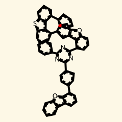 c1ccc(-c2nc(-c3ccc(-c4cccc5c4oc4ccccc45)cc3)nc(-c3cccc4oc5ccc(-c6cccc7sc8cccc(-c9ccccc9)c8c67)cc5c34)n2)cc1